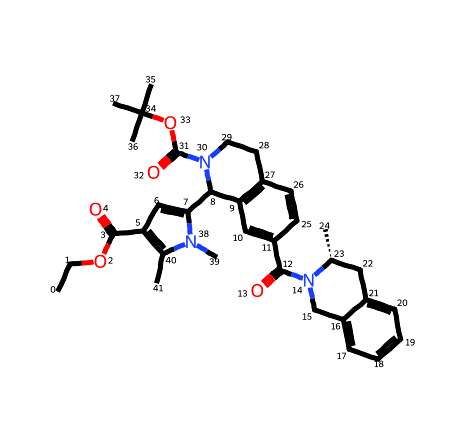 CCOC(=O)c1cc(C2c3cc(C(=O)N4Cc5ccccc5C[C@H]4C)ccc3CCN2C(=O)OC(C)(C)C)n(C)c1C